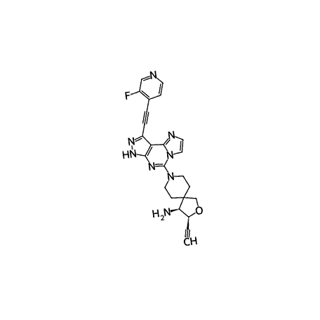 C#C[C@@H]1OCC2(CCN(c3nc4[nH]nc(C#Cc5ccncc5F)c4c4nccn34)CC2)[C@@H]1N